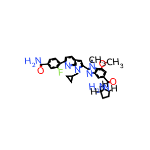 COc1cc(C(=O)N2C[C@H]3CC[C@@H]2[C@@H]3N)cc2nc(-c3cc4ccc(-c5ccc(C(N)=O)cc5F)nc4n3CC3CC3)n(C)c12